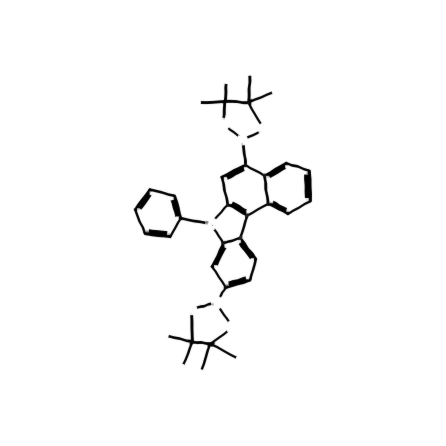 CC1(C)OB(c2ccc3c4c5ccccc5c(B5OC(C)(C)C(C)(C)O5)cc4n(-c4ccccc4)c3c2)OC1(C)C